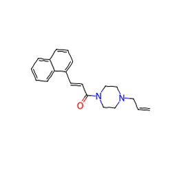 C=CCN1CCN(C(=O)C=Cc2cccc3ccccc23)CC1